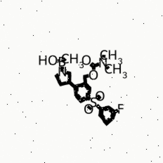 CB(O)N1CCC(c2ccc(S(=O)(=O)c3cccc(F)c3)cc2COC(=O)N(C)C)C1